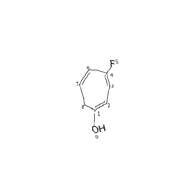 OC1=CC=C(F)C=CC1